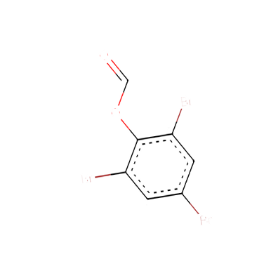 O=COc1c(Br)cc(Br)cc1Br